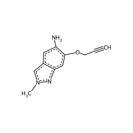 C#CCOc1cc2nn(C)cc2cc1N